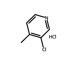 Cc1ccncc1Cl.Cl